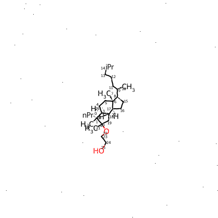 CCC[C@]1(C)[C@H]2CC[C@]3(C)[C@@H]([C@H](C)CCCC(C)C)CC[C@H]3[C@@H]2CC1(C)OCCO